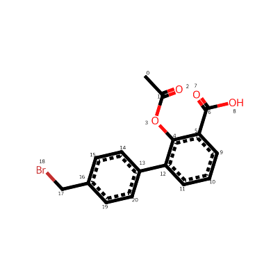 CC(=O)Oc1c(C(=O)O)cccc1-c1ccc(CBr)cc1